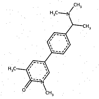 Cc1cc(-c2ccc(C(C)N(C)C)cc2)cn(C)c1=O